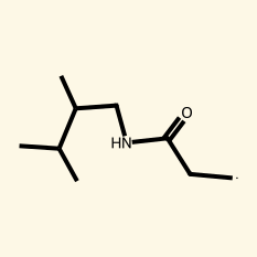 [CH2]CC(=O)NCC(C)C(C)C